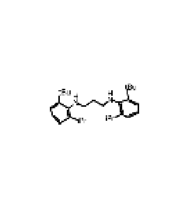 CC(C)c1cccc(C(C)(C)C)c1NCCCNc1c(C(C)C)cccc1C(C)(C)C